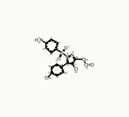 Nc1ccc(S(=O)(=O)n2nc(OC=O)c(Cl)c2-c2ccc(Cl)cc2)cc1